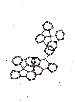 c1ccc(-c2ccccc2N(c2cccc(-c3cccc4c3C(c3ccccc3)(c3ccccc3)c3ccccc3-4)c2)c2cccc(-c3cccc4c3C(c3ccccc3)(c3ccccc3)c3ccccc3-4)c2)cc1